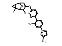 Cc1ccn(-c2ccc(-c3ccc(OC4CC5NC(C4F)C4(F)CC54)nn3)c(O)c2)n1